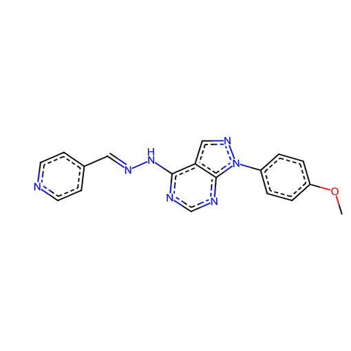 COc1ccc(-n2ncc3c(N/N=C/c4ccncc4)ncnc32)cc1